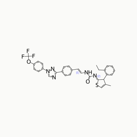 CCc1ccccc1C1C(C)=CS/C1=N\C(=O)N/C=C/c1ccc(-c2ncn(-c3ccc(OC(F)(F)F)cc3)n2)cc1